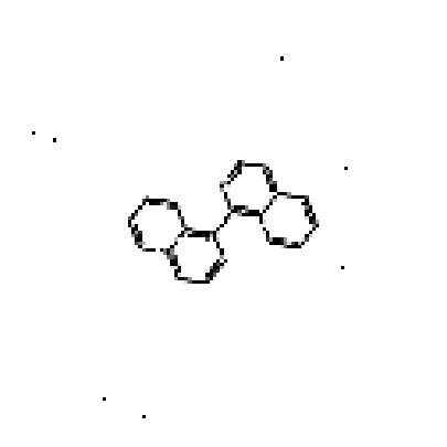 [c]1cccc2c(-c3cccc4[c]cccc34)cccc12